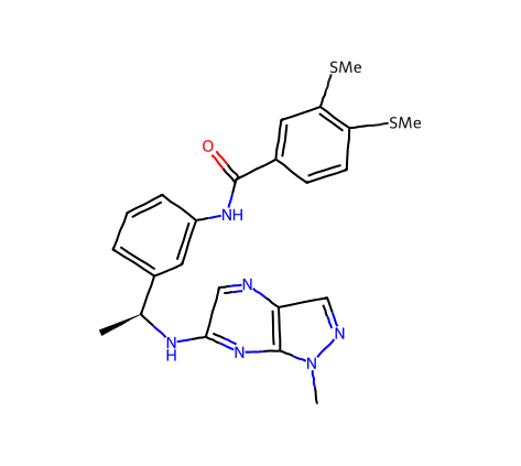 CSc1ccc(C(=O)Nc2cccc([C@H](C)Nc3cnc4cnn(C)c4n3)c2)cc1SC